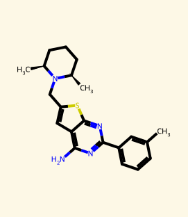 Cc1cccc(-c2nc(N)c3cc(CN4[C@H](C)CCC[C@@H]4C)sc3n2)c1